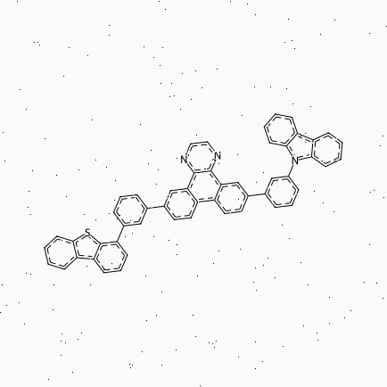 c1cc(-c2ccc3c4ccc(-c5cccc(-n6c7ccccc7c7ccccc76)c5)cc4c4nccnc4c3c2)cc(-c2cccc3c2sc2ccccc23)c1